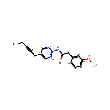 N#CCC#CCc1cnc(NC(=O)Cc2cccc(OC(F)(F)F)c2)nc1